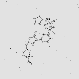 CCn1nc(Oc2ccc(C(F)(F)F)cc2)cc1-c1cccc(C(C)(C)NS(=O)(=O)NC2CCCC2)c1